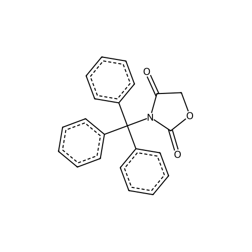 O=C1COC(=O)N1C(c1ccccc1)(c1ccccc1)c1ccccc1